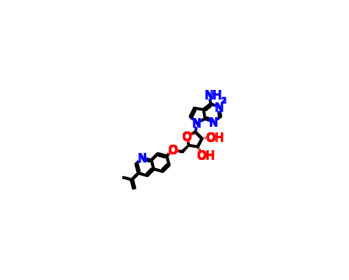 C=C(C)c1cnc2cc(OC[C@H]3O[C@@H](n4ccc5c(N)ncnc54)[C@H](O)[C@@H]3O)ccc2c1